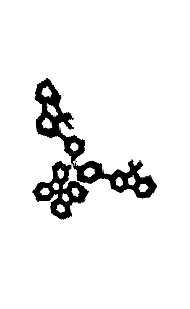 CC1(C)c2ccccc2-c2ccc(-c3ccc(N(c4cccc(-c5cccc6c5C(C)(C)c5ccccc5-6)c4)c4ccc5c(c4)C4(c6ccccc6-c6ccccc64)c4ccccc4-5)cc3)cc21